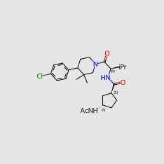 CC(=O)N[C@H]1CC[C@H](C(=O)N[C@@H](C(=O)N2CCC(c3ccc(Cl)cc3)C(C)(C)C2)C(C)C)C1